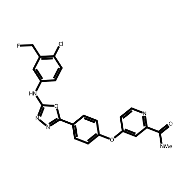 CNC(=O)c1cc(Oc2ccc(-c3nnc(Nc4ccc(Cl)c(CF)c4)o3)cc2)ccn1